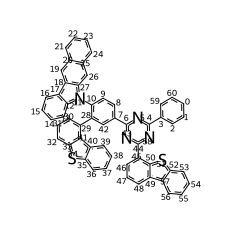 c1ccc(-c2nc(-c3ccc(-n4c5ccccc5c5cc6ccccc6cc54)c(-c4cccc5sc6ccccc6c45)c3)nc(-c3cccc4c3sc3ccccc34)n2)cc1